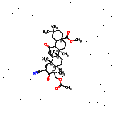 COC(=O)[C@]12CCC(C)(C)CC1C1C(=O)C=C3[C@@]4(C)C=C(C#N)C(=O)[C@@](C)(COC(C)=O)[C@@H]4CC[C@@]3(C)[C@]1(C)CC2